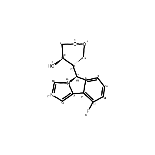 O[C@H]1CCOC[C@@H]1[C@H]1c2cccc(F)c2-c2cncn21